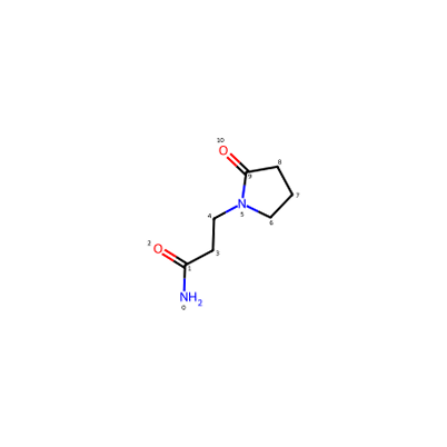 NC(=O)CCN1CCCC1=O